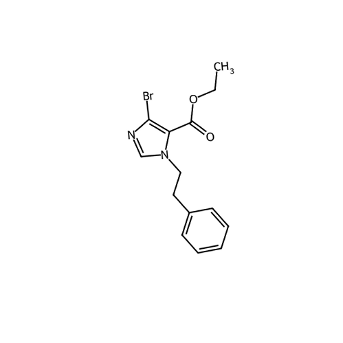 CCOC(=O)c1c(Br)ncn1CCc1ccccc1